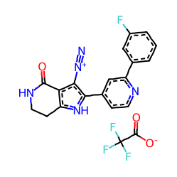 N#[N+]c1c(-c2ccnc(-c3cccc(F)c3)c2)[nH]c2c1C(=O)NCC2.O=C([O-])C(F)(F)F